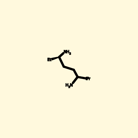 CC[C@@H](N)CCC(N)C(C)C